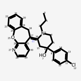 CCCN1CCC(O)(c2ccc(Cl)cc2)C/C1=C1/Cc2ccccc2Oc2ncccc21